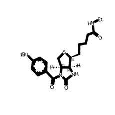 CCNC(=O)CCCC[C@@H]1SC[C@H]2[C@@H]1NC(=O)N2C(=O)c1ccc(C(C)(C)C)cc1